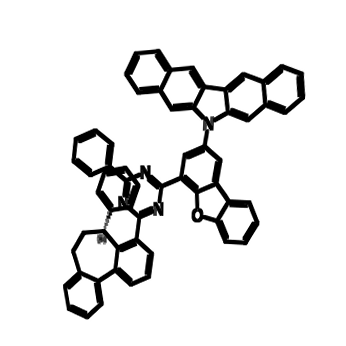 c1ccc(-c2nc(-c3cccc4c3[C@@H](c3ccccc3)CCc3ccccc3-4)nc(-c3cc(-n4c5cc6ccccc6cc5c5cc6ccccc6cc54)cc4c3oc3ccccc34)n2)cc1